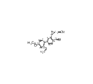 C#C[C@H]1C[C@@H]1c1cc(-c2cnc(OC)nc2OC)nnc1C#N